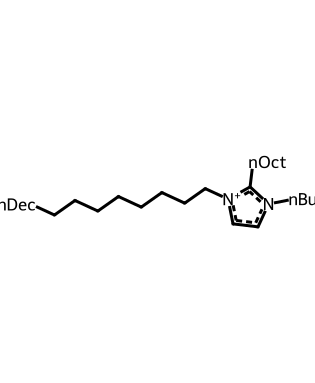 CCCCCCCCCCCCCCCCCC[n+]1ccn(CCCC)c1CCCCCCCC